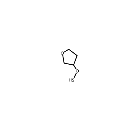 SOC1CCOC1